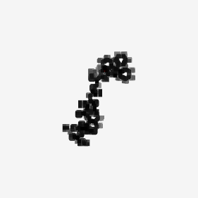 CCOC(CONCC(=O)NC1C(=O)N2C(C(=O)OC(C)OC(=O)C(C)(C)C)=C(COC)CS[C@@H]12)c1csc(NC(c2ccccc2)(c2ccccc2)c2ccccc2)n1